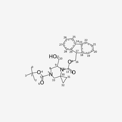 CC(C)(C)OC(=O)N1CC(CO)N(C(=O)OCC2c3ccccc3-c3ccccc32)C2(CC2)C1